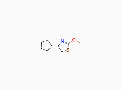 COC1=NC(C2CCCC2)CS1